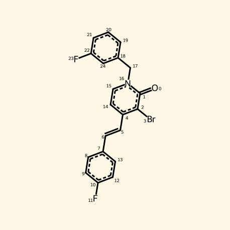 O=c1c(Br)c(C=Cc2ccc(F)cc2)ccn1Cc1cccc(F)c1